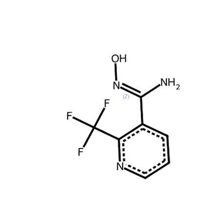 N/C(=N\O)c1cccnc1C(F)(F)F